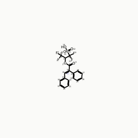 O=C(OC(C(F)(F)F)C(F)(F)S(=O)(=O)O)/C(=C/c1ccccc1)c1ccccc1